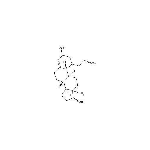 C=CCC1C[C@H](O)C=C2CC[C@@H]3[C@H](CC[C@]4(C)[C@@H](O)CC[C@@H]34)[C@H]21